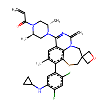 C=CC(=O)N1C[C@H](C)N(C2=NC(=C)N3CC4(COC4)CSc4c(-c5cc(NC6CC6)c(F)cc5F)c(C(F)(F)F)cc2c43)C[C@H]1C